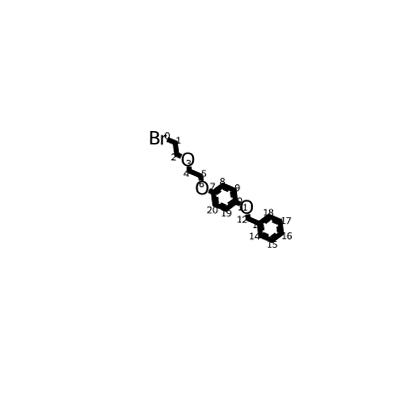 BrCCOCCOc1ccc(OCc2ccccc2)cc1